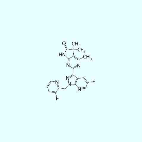 Cc1nc(-c2nn(Cc3ncccc3F)c3ncc(F)cc23)nc2c1C(C)(C(F)(F)F)C(=O)N2